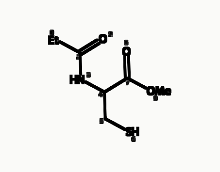 CCC(=O)NC(CS)C(=O)OC